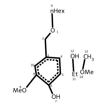 CCCCCCOCc1ccc(O)c(OC)c1.CCO.COC